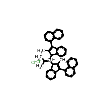 CC1=C(c2cccc3ccccc23)c2ccccc2[CH]1[Zr+2](=[C](C)C)[CH]1C(C)=C(c2cccc3ccccc23)c2ccccc21.[Cl-].[Cl-]